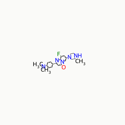 CC1CN(c2cc(F)c3nc(-c4ccc(N(C)C)cc4)cc(=O)n3c2)CCN1